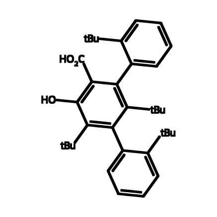 CC(C)(C)c1ccccc1-c1c(C(=O)O)c(O)c(C(C)(C)C)c(-c2ccccc2C(C)(C)C)c1C(C)(C)C